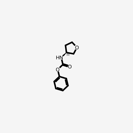 O=C(N[C@H]1CCOC1)Oc1ccccc1